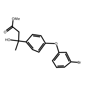 COC(=O)CC(C)(O)c1ccc(Oc2cccc(Br)c2)cc1